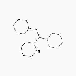 C1CCC(CC(C2CCCCC2)C2CCCCN2)CC1